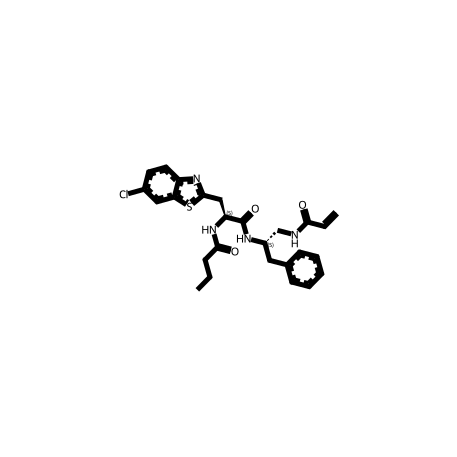 C=CC(=O)NC[C@H](Cc1ccccc1)NC(=O)[C@H](Cc1nc2ccc(Cl)cc2s1)NC(=O)CCC